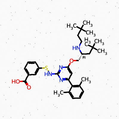 Cc1cccc(C)c1-c1cc(OC[C@@H](CC(C)(C)C)NCCC(C)(C)C)nc(NSc2cccc(C(=O)O)c2)n1